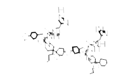 CCCC(=O)C1(C2CCCCC2)CCN(C(=O)[C@@H](Cc2ccc(OC)cc2)NC(=S)NCCc2c[nH]cn2)CC1.CCCOC1(C2CCCCC2)CCN(C(=O)[C@@H](Cc2ccc(OC)cc2)NC(=S)NCCc2c[nH]cn2)CC1